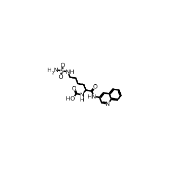 NS(=O)(=O)NCCCCC(NC(=O)O)C(=O)Nc1cnc2ccccc2c1